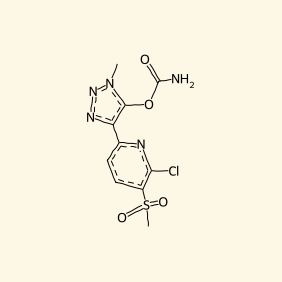 Cn1nnc(-c2ccc(S(C)(=O)=O)c(Cl)n2)c1OC(N)=O